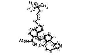 CNC(=O)c1cnc2c(ccn2COCC[Si](C)(C)C)c1Nc1cccc2c1N(C)CCn1cnnc1-2